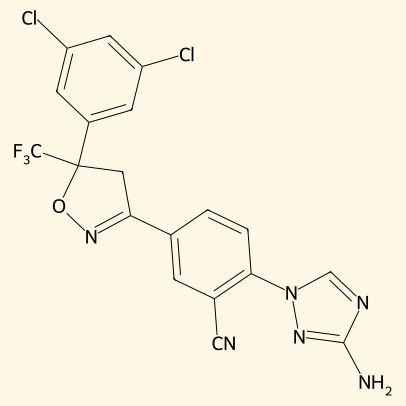 N#Cc1cc(C2=NOC(c3cc(Cl)cc(Cl)c3)(C(F)(F)F)C2)ccc1-n1cnc(N)n1